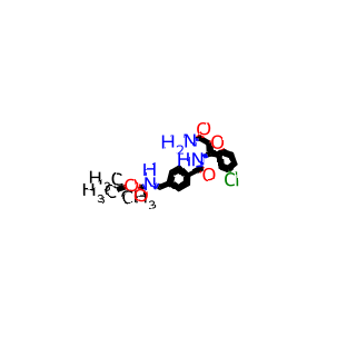 CC(C)(C)OC(=O)NCc1ccc(C(=O)Nc2c(C(N)=O)oc3ccc(Cl)cc23)cc1